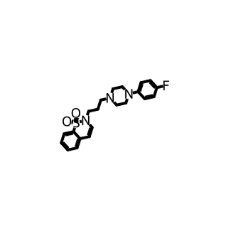 O=S1(=O)c2ccccc2C=CN1CCCN1CCN(c2ccc(F)cc2)CC1